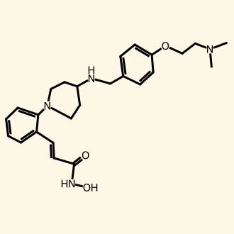 CN(C)CCOc1ccc(CNC2CCN(c3ccccc3/C=C/C(=O)NO)CC2)cc1